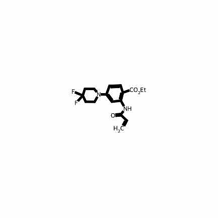 C=CC(=O)Nc1cc(N2CCC(F)(F)CC2)ccc1C(=O)OCC